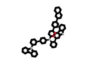 c1cc(-c2ccc(N(c3ccc(-c4ccc(-c5ccc6ccccc6c5)cc4)cc3)c3ccccc3-c3ccc4c(c3)sc3ccccc34)cc2)cc(-n2c3ccccc3c3ccccc32)c1